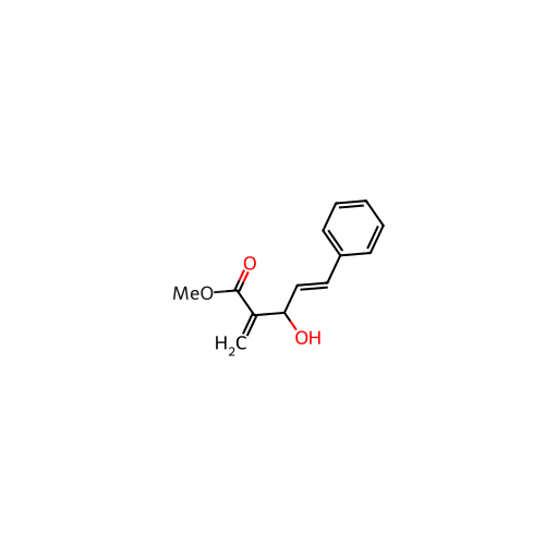 C=C(C(=O)OC)C(O)C=Cc1ccccc1